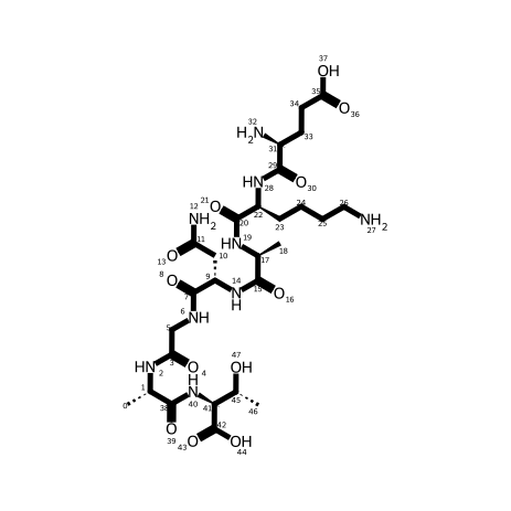 C[C@H](NC(=O)CNC(=O)[C@H](CC(N)=O)NC(=O)[C@H](C)NC(=O)[C@H](CCCCN)NC(=O)[C@@H](N)CCC(=O)O)C(=O)N[C@H](C(=O)O)[C@@H](C)O